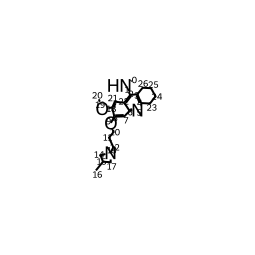 CNc1c2c(nc3cc(OCCCN4CC(C)C4)c(OC)cc13)CCCC2